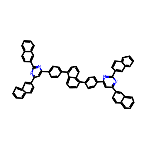 c1ccc2cc(-c3cc(-c4ccc(-c5cccc6c(-c7ccc(-c8cc(-c9ccc%10ccccc%10c9)nc(-c9ccc%10ccccc%10c9)n8)cc7)cccc56)cc4)nc(-c4ccc5ccccc5c4)n3)ccc2c1